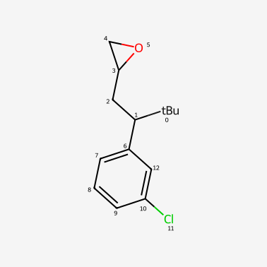 CC(C)(C)C(CC1CO1)c1cccc(Cl)c1